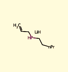 C=CCPCCCCC.[LiH]